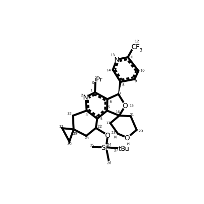 CC(C)c1nc2c(c3c1[C@@H](c1ccc(C(F)(F)F)nc1)OC31CCOCC1)C(O[Si](C)(C)C(C)(C)C)CC1(CC1)C2